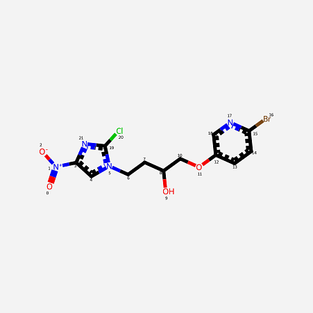 O=[N+]([O-])c1cn(CCC(O)COc2ccc(Br)nc2)c(Cl)n1